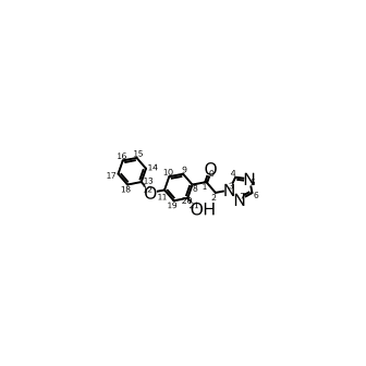 O=C(Cn1cncn1)c1ccc(Oc2ccccc2)cc1O